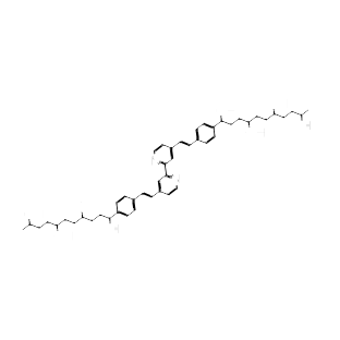 CC(O)CCC(O)CCC(O)CCC(O)c1ccc(C=Cc2ccnc(-c3cc(C=Cc4ccc(C(O)CCC(O)CCC(O)CCC(C)O)cc4)ccn3)c2)cc1